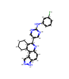 Fc1cccc(Nc2ncc(-c3nc4ccc5[nH]ncc5c4c4c3CCCC4)cn2)c1